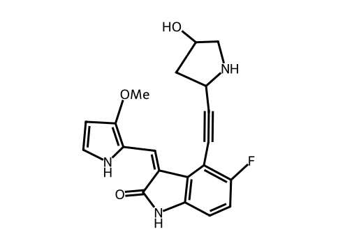 COc1cc[nH]c1C=C1C(=O)Nc2ccc(F)c(C#CC3CC(O)CN3)c21